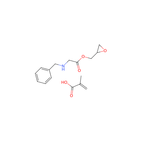 C=C(C)C(=O)O.O=C(CNCc1ccccc1)OCC1CO1